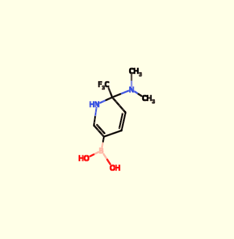 CN(C)C1(C(F)(F)F)C=CC(B(O)O)=CN1